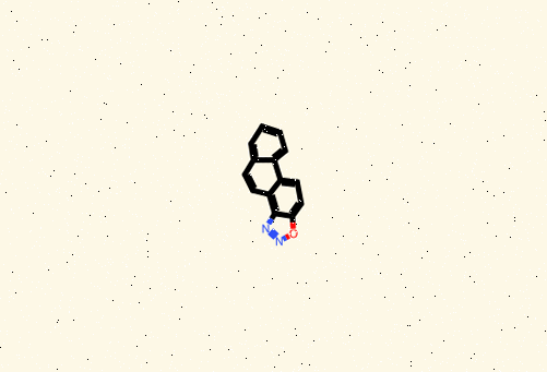 c1ccc2c(c1)ccc1c2ccc2onnc21